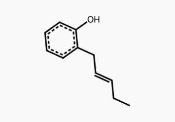 CCC=CCc1ccccc1O